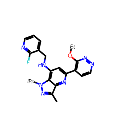 CCOc1nnccc1-c1cc(NCc2cccnc2F)c2c(n1)c(C)nn2C(C)C